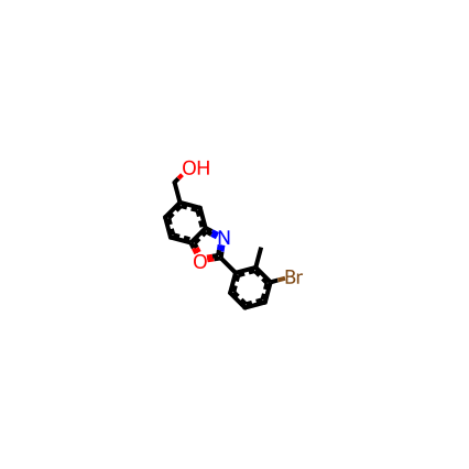 Cc1c(Br)cccc1-c1nc2cc(CO)ccc2o1